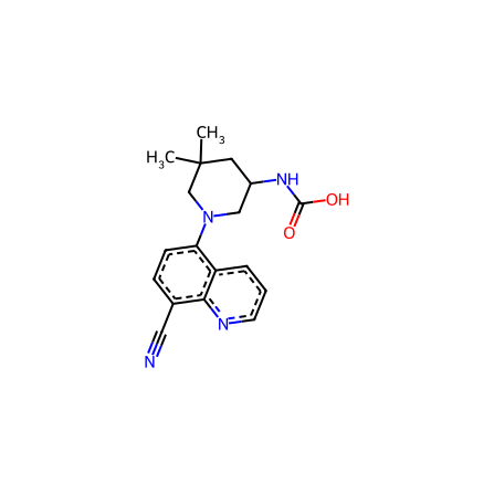 CC1(C)CC(NC(=O)O)CN(c2ccc(C#N)c3ncccc23)C1